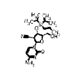 CCC[Si](O[C@H]1[C@H](C#N)[C@H](n2ccc(N)nc2=O)O[C@@H]1CO)(C(C)C)C(C)C